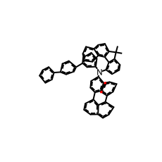 CC1(C)c2cccc(N(c3ccc(-c4cccc5cccc(-c6ccccc6)c45)cc3)c3cccc(-c4ccc(-c5ccccc5)cc4)c3)c2-c2c1ccc1ccccc21